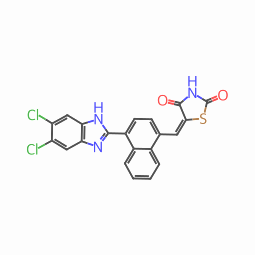 O=C1NC(=O)C(=Cc2ccc(-c3nc4cc(Cl)c(Cl)cc4[nH]3)c3ccccc23)S1